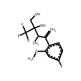 C=C(c1ccc(F)cc1OC)C(C)C(O)(CO)C(F)(F)F